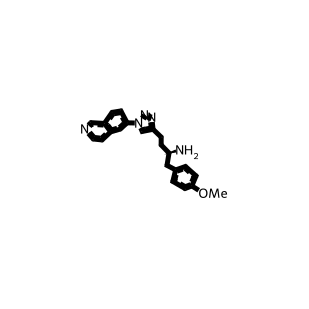 COc1ccc(C[C@H](N)CCc2cn(-c3ccc4cnccc4c3)nn2)cc1